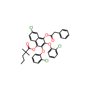 CCCC(C)(C)C(=O)Oc1c(Oc2ccccc2Cl)c(Oc2ccccc2Cl)c(OC(=O)Cc2ccccc2)c2cc(Cl)ccc12